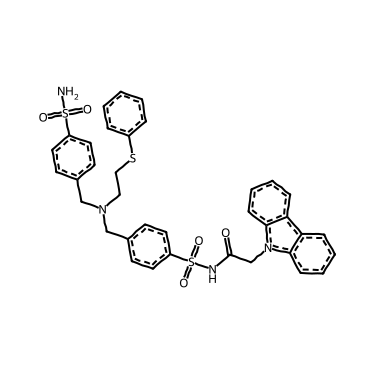 NS(=O)(=O)c1ccc(CN(CCSc2ccccc2)Cc2ccc(S(=O)(=O)NC(=O)Cn3c4ccccc4c4ccccc43)cc2)cc1